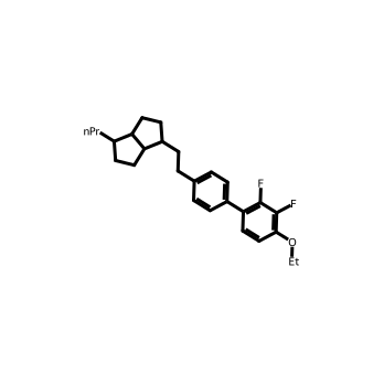 CCCC1CCC2C(CCc3ccc(-c4ccc(OCC)c(F)c4F)cc3)CCC12